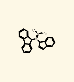 C[Si](C)=[Ti]([CH]1C=Cc2ccccc21)[CH]1c2ccccc2-c2ccccc21